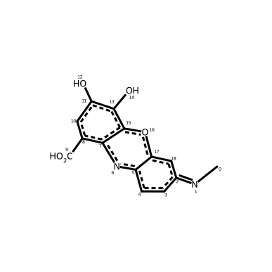 C/N=c1/ccc2nc3c(C(=O)O)cc(O)c(O)c3oc-2c1